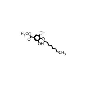 CCCCCCCCOc1c(O)cc(C(=O)OC)cc1O